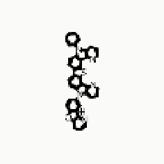 C1=CC2Oc3cccnc3[C@@H]2C=C1n1c2cccnc2c2c3sc4c(ccc5c4c4ncccc4n5-c4ccccc4)c3ccc21